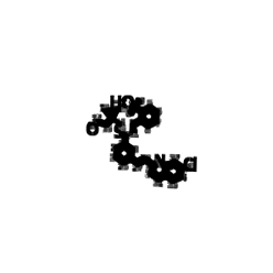 CC(C)(O)c1ccccc1CC[C@@H](SC[C@@]1(CC=O)C[C@@H]1F)c1cccc(/C=C/c2ccc3ccc(Cl)cc3n2)c1